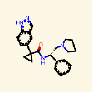 O=C(N[C@H](CN1CCCC1)c1ccccc1)C1(c2ccc3[nH]ncc3c2)CC1